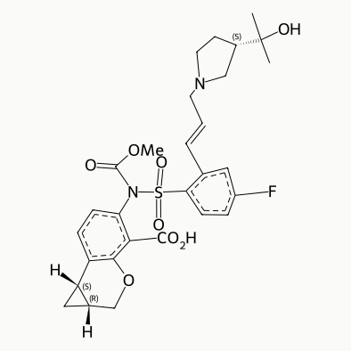 COC(=O)N(c1ccc2c(c1C(=O)O)OC[C@@H]1C[C@H]21)S(=O)(=O)c1ccc(F)cc1C=CCN1CC[C@H](C(C)(C)O)C1